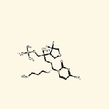 CCCCCCCCCCCCCC[C@H](CC[C@@](CO[Si](C)(C)C(C)(C)C)(C(=O)O)C1COCC1(F)F)n1ccc(N)nc1=O